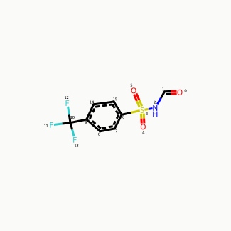 O=CNS(=O)(=O)c1ccc(C(F)(F)F)cc1